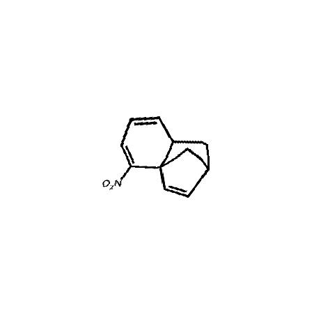 O=[N+]([O-])C1=CC=CC2CC3C=CC12C3